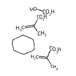 C1CCCCC1.C=C(C)C(=O)O.C=C(C)C(=O)O.O=C(O)O